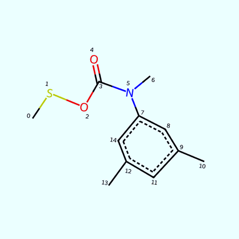 CSOC(=O)N(C)c1cc(C)cc(C)c1